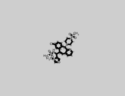 Cn1cncc1C(NS(C)(=O)=O)C1=Cc2cccnc2[C@@H](N2CCN(S(C)(=O)=O)CC2)c2ccc(Cl)cc21